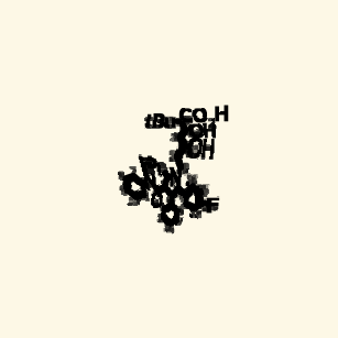 CC(C)C1C(C(=O)Nc2ccccc2)C(c2ccccc2)C(c2ccc(F)cc2)N1CC[C@@H](O)C[C@H](O)C(C(=O)O)C(C)(C)C